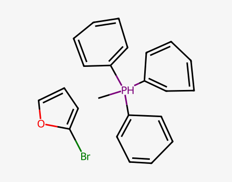 Brc1ccco1.C[PH](c1ccccc1)(c1ccccc1)c1ccccc1